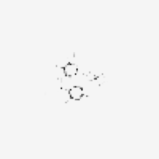 Cc1nc(N2CC3(CNC3)C2)nc(N[C@H](C)c2ccc(Cl)cc2Cl)c1Cl